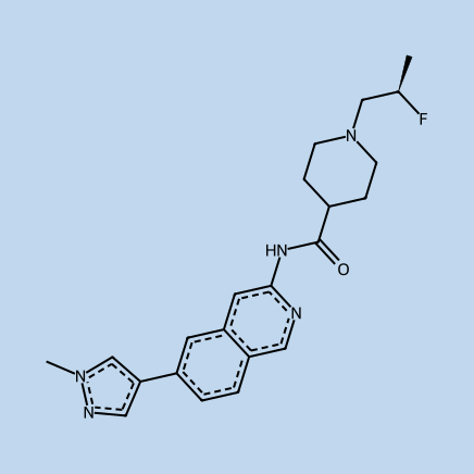 C[C@@H](F)CN1CCC(C(=O)Nc2cc3cc(-c4cnn(C)c4)ccc3cn2)CC1